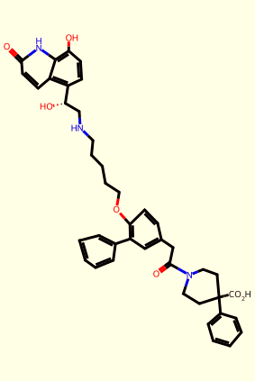 O=C(Cc1ccc(OCCCCCNC[C@H](O)c2ccc(O)c3[nH]c(=O)ccc23)c(-c2ccccc2)c1)N1CCC(C(=O)O)(c2ccccc2)CC1